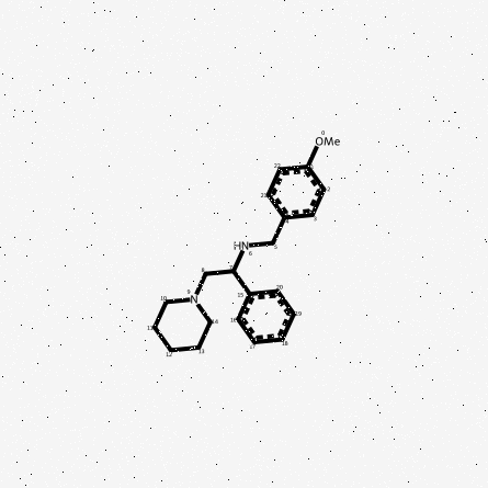 COc1ccc(CNC(CN2CCCCC2)c2ccccc2)cc1